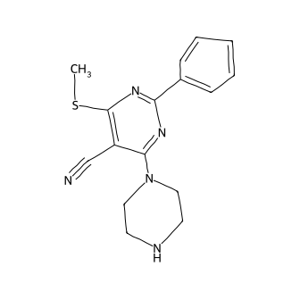 CSc1nc(-c2ccccc2)nc(N2CCNCC2)c1C#N